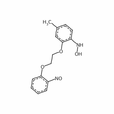 Cc1ccc(NO)c(OCCOc2ccccc2N=O)c1